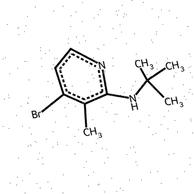 Cc1c(Br)ccnc1NC(C)(C)C